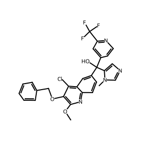 COc1nc2ccc(C(O)(c3ccnc(C(F)(F)F)c3)c3cncn3C)cc2c(Cl)c1OCc1ccccc1